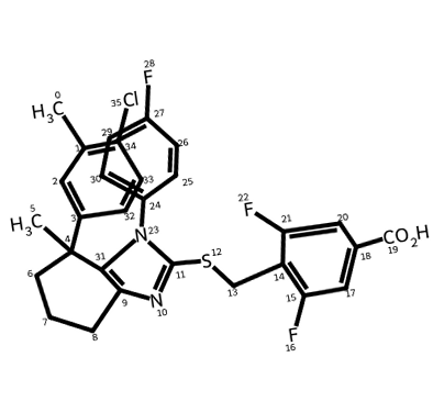 Cc1cc(C2(C)CCCc3nc(SCc4c(F)cc(C(=O)O)cc4F)n(-c4ccc(F)cc4)c32)ccc1Cl